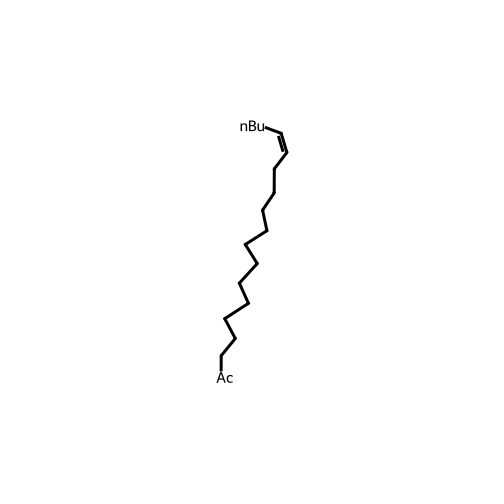 CCCC/C=C\CCCCCCCCCCCC(C)=O